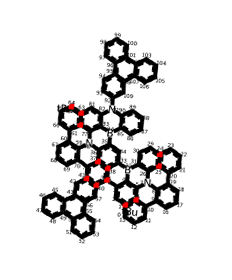 CC(C)(C)c1cc2c3c(c1)N(c1c(-c4ccccc4)cccc1-c1ccccc1)c1ccccc1B3c1cc3c(cc1N2c1ccc2c4ccccc4c4ccccc4c2c1)N(c1c(-c2ccccc2)cccc1-c1ccccc1)c1cc(C(C)(C)C)cc2c1B3c1ccccc1N2c1ccc2c3ccccc3c3ccccc3c2c1